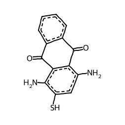 Nc1cc(S)c(N)c2c1C(=O)c1ccccc1C2=O